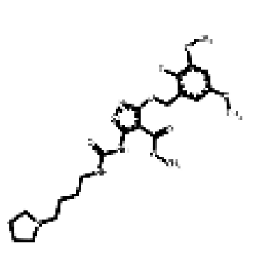 COC(=O)c1c(OCc2cc(OC)cc(OC)c2F)nsc1NC(=O)NCCCCN1CCCC1